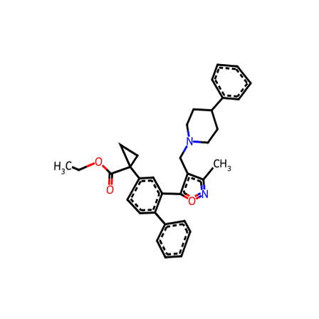 CCOC(=O)C1(c2ccc(-c3ccccc3)c(-c3onc(C)c3CN3CCC(c4ccccc4)CC3)c2)CC1